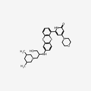 CC1CC(C)CN(CC(CO)Nc2ccc3c(c2)Sc2cccc(-c4cc(N5CCOCC5)cc(=O)[nH]4)c2S3)C1